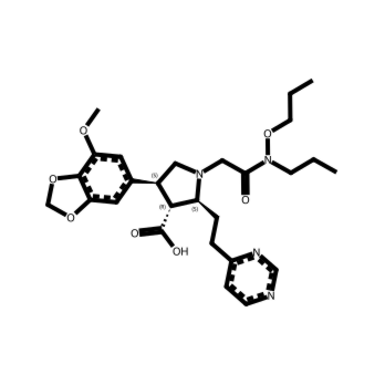 CCCON(CCC)C(=O)CN1C[C@H](c2cc(OC)c3c(c2)OCO3)[C@@H](C(=O)O)[C@@H]1CCc1ccncn1